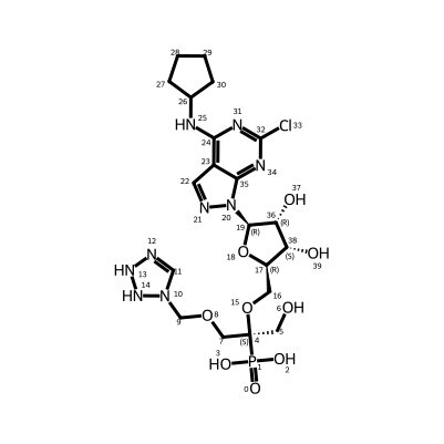 O=P(O)(O)[C@@](CO)(COCN1C=NNN1)OC[C@H]1O[C@@H](n2ncc3c(NC4CCCC4)nc(Cl)nc32)[C@H](O)[C@@H]1O